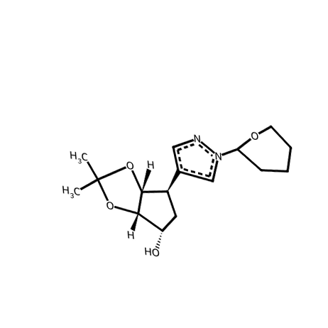 CC1(C)O[C@@H]2[C@H](O1)[C@@H](c1cnn(C3CCCCO3)c1)C[C@@H]2O